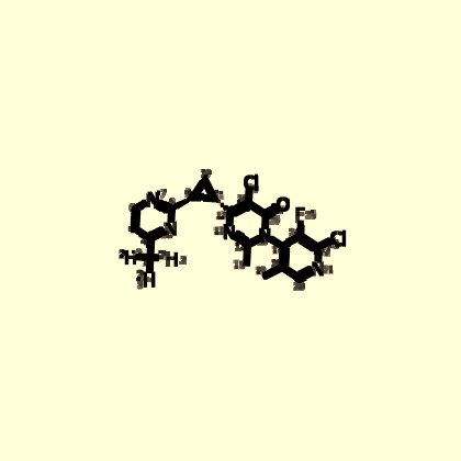 [2H]C([2H])([2H])c1ccnc([C@H]2C[C@@H]2c2nc(C)n(-c3c(C)cnc(Cl)c3F)c(=O)c2Cl)n1